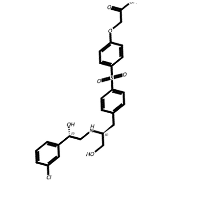 O=C(O)COc1ccc(S(=O)(=O)c2ccc(C[C@@H](CO)NC[C@@H](O)c3cccc(Cl)c3)cc2)cc1